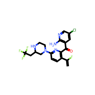 C=C(F)c1ccc(N2CCNC(CC(F)(F)F)C2)nc1C(=O)c1cc(Cl)cnc1N